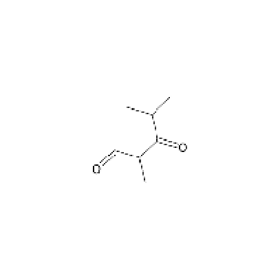 CC(C)C(=O)C(C)C=O